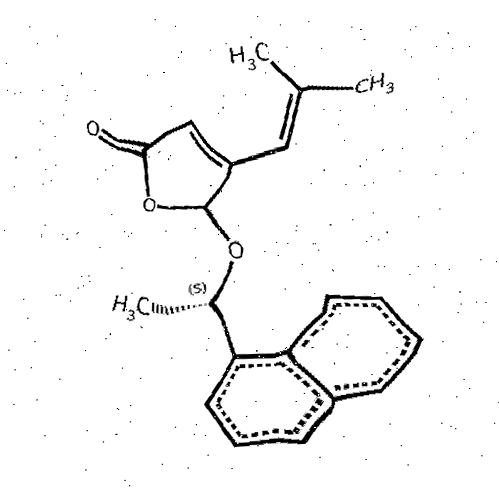 CC(C)=CC1=CC(=O)OC1O[C@@H](C)c1cccc2ccccc12